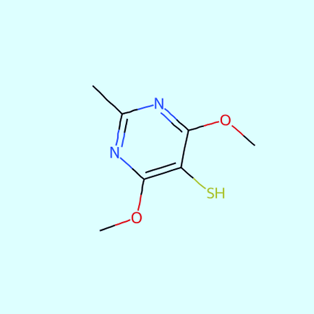 COc1nc(C)nc(OC)c1S